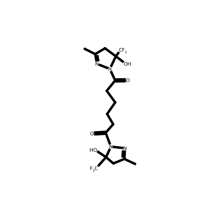 CC1=NN(C(=O)CCCCC(=O)N2N=C(C)CC2(O)C(F)(F)F)C(O)(C(F)(F)F)C1